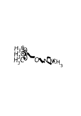 CO[Si](C)(CCCOCCN1CCN(C)CC1)OC